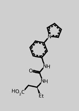 CC[C@@H](CC(=O)O)NC(=O)Nc1cccc(-n2cccc2)c1